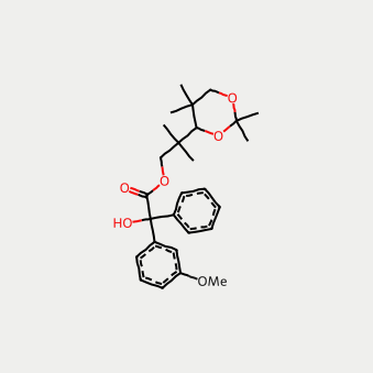 COc1cccc(C(O)(C(=O)OCC(C)(C)C2OC(C)(C)OCC2(C)C)c2ccccc2)c1